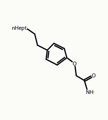 CCCCCCCCCc1ccc(OCC([NH])=O)cc1